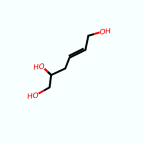 OCC=CCC(O)CO